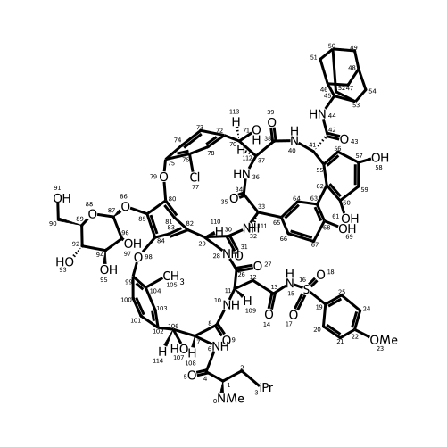 CN[C@H](CC(C)C)C(=O)N[C@H]1C(=O)N[C@@H](CC(=O)NS(=O)(=O)c2ccc(OC)cc2)C(=O)N[C@H]2C(=O)N[C@H]3C(=O)N[C@H](C(=O)N[C@H](C(=O)NC4C5CC6CC(C5)CC4C6)c4cc(O)cc(O)c4-c4cc3ccc4O)[C@H](O)c3ccc(c(Cl)c3)Oc3cc2cc(c3O[C@@H]2O[C@H](CO)[C@@H](O)[C@H](O)[C@H]2O)Oc2ccc(cc2C)[C@H]1O